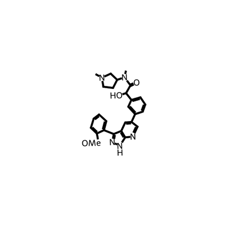 COc1ccccc1-c1n[nH]c2ncc(-c3cccc(C(O)C(=O)N(C)C4CCN(C)C4)c3)cc12